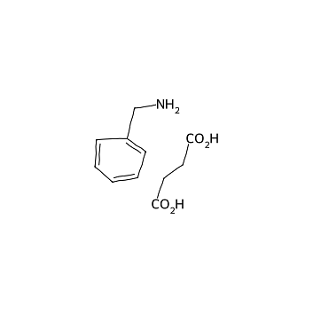 NCc1ccccc1.O=C(O)CCC(=O)O